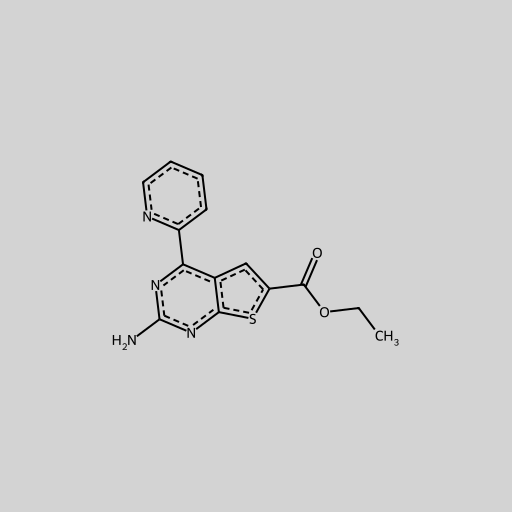 CCOC(=O)c1cc2c(-c3ccccn3)nc(N)nc2s1